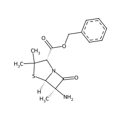 CC1(C)S[C@H]2N(C(=O)[C@@]2(C)N)[C@H]1C(=O)OCc1ccccc1